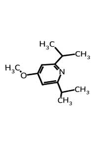 COc1cc(C(C)C)nc(C(C)C)c1